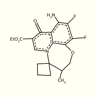 CCOC(=O)c1cn2c3c(c(F)c(F)c(N)c3c1=O)OCC(C)C21CCC1